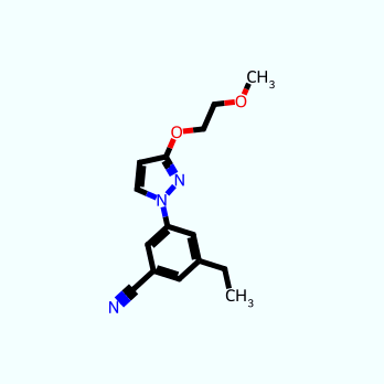 CCc1cc(C#N)cc(-n2ccc(OCCOC)n2)c1